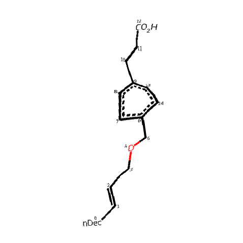 CCCCCCCCCCC=CCOCc1ccc(CCC(=O)O)cc1